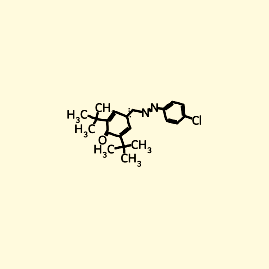 CC(C)(C)C1=C[C]([C]N=Nc2ccc(Cl)cc2)C=C(C(C)(C)C)C1=O